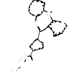 CCN1c2ccccc2N=C(c2ccc(C(=O)NON)cc2)c2cccnc21